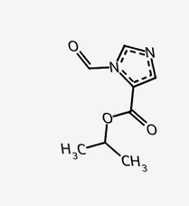 CC(C)OC(=O)c1cncn1C=O